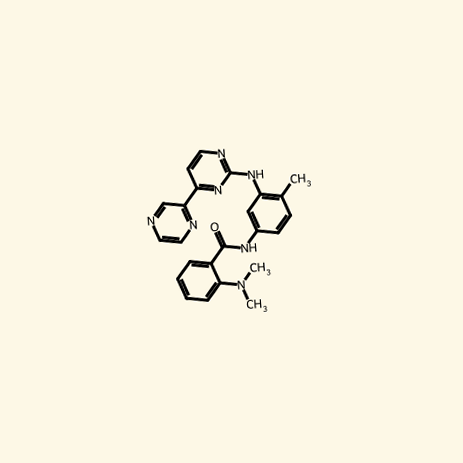 Cc1ccc(NC(=O)c2ccccc2N(C)C)cc1Nc1nccc(-c2cnccn2)n1